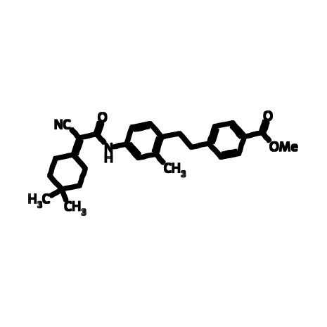 COC(=O)c1ccc(CCc2ccc(NC(=O)C(C#N)=C3CCC(C)(C)CC3)cc2C)cc1